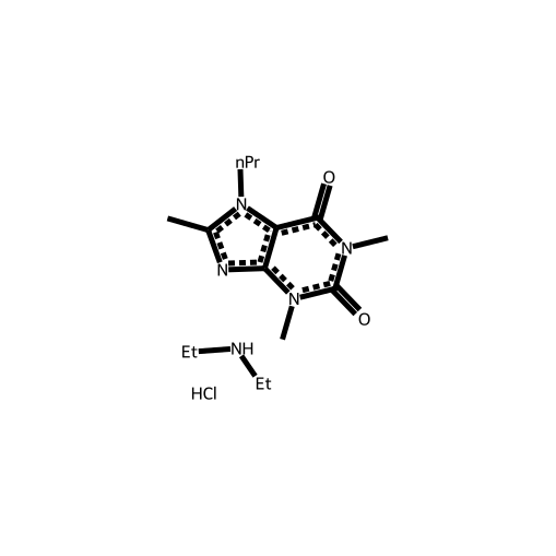 CCCn1c(C)nc2c1c(=O)n(C)c(=O)n2C.CCNCC.Cl